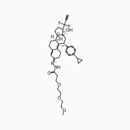 C#CC(F)(F)[C@]1(O)CC[C@H]2[C@@H]3CCC4=C/C(=N/NC(=O)CCOCCOCCOC)CCC4=C3[C@H](c3ccc(C4CC4)cc3)C[C@@]21C